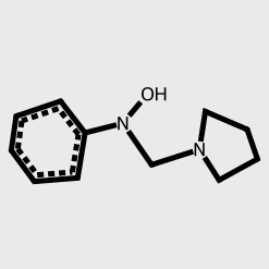 ON(CN1CCCC1)c1ccccc1